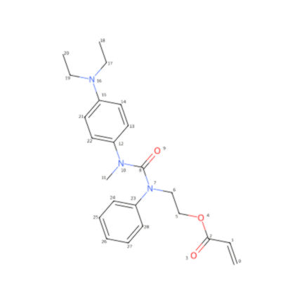 C=CC(=O)OCCN(C(=O)N(C)c1ccc(N(CC)CC)cc1)c1ccccc1